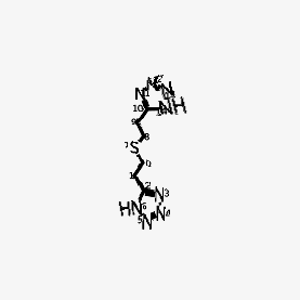 C(Cc1nnn[nH]1)SCCc1nnn[nH]1